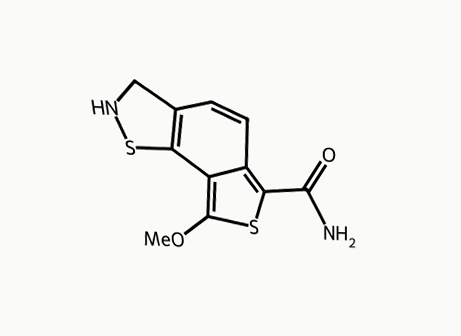 COc1sc(C(N)=O)c2ccc3c(c12)SNC3